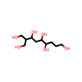 OCCCC(O)C(O)CC(O)C(CO)CO